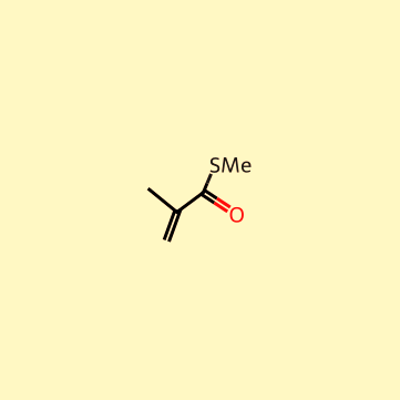 C=C(C)C(=O)SC